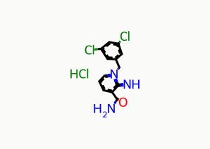 Cl.N=c1c(C(N)=O)cccn1Cc1cc(Cl)cc(Cl)c1